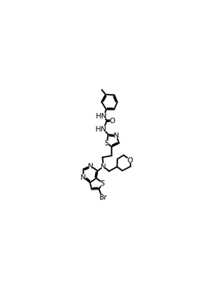 Cc1cccc(NC(=O)Nc2ncc(CCN(CC3CCOCC3)c3ncnc4cc(Br)sc34)s2)c1